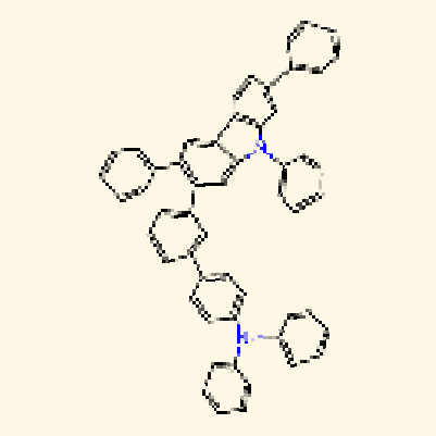 c1ccc(-c2ccc3c4cc(-c5ccccc5)c(-c5cccc(-c6ccc(N(c7ccccc7)c7ccccc7)cc6)c5)cc4n(-c4ccccc4)c3c2)cc1